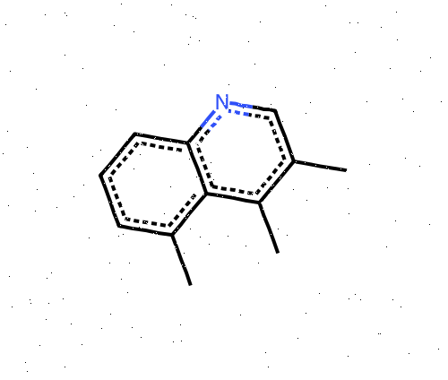 Cc1cnc2cccc(C)c2c1C